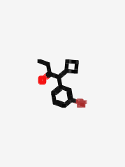 CCC(=O)C(c1cccc(Br)c1)C1CCC1